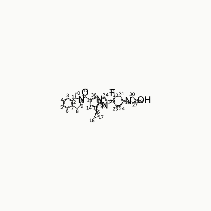 C[C@@H]1c2ccccc2CCN1C(=O)c1cc(C2CC2)c2nc(-c3ccc(N4CC(O)C4)cc3F)cn2c1